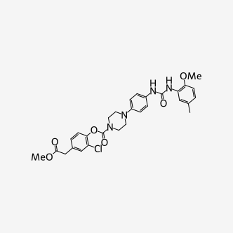 COC(=O)Cc1ccc(OC(=O)N2CCN(c3ccc(NC(=O)Nc4cc(C)ccc4OC)cc3)CC2)c(Cl)c1